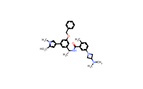 Cc1ccc(N2CC(N(C)C)C2)cc1C(=O)N[C@H](C)c1cc(OCc2ccccc2)cc(-c2cc(C(=O)O)n(C)c2)c1